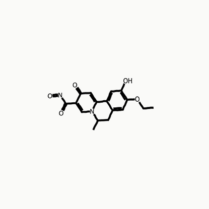 CCOc1cc2c(cc1O)-c1cc(=O)c(C(=O)N=O)cn1C(C)C2